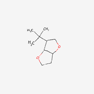 CC(C)(C)C1COC2CCOC21